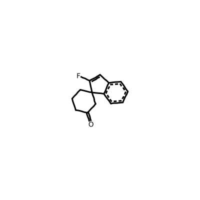 O=C1CCCC2(C1)C(F)=Cc1ccccc12